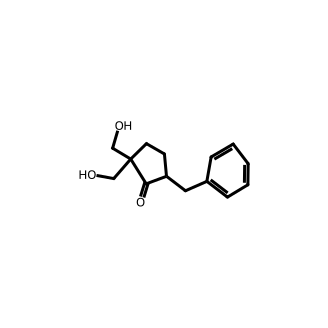 O=C1C(Cc2ccccc2)CCC1(CO)CO